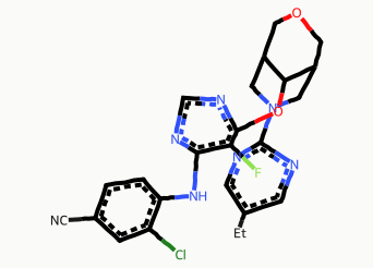 CCc1cnc(N2CC3COCC(C2)C3Oc2ncnc(Nc3ccc(C#N)cc3Cl)c2F)nc1